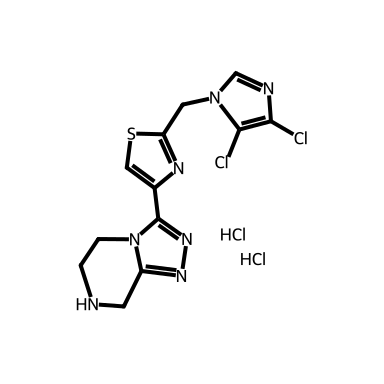 Cl.Cl.Clc1ncn(Cc2nc(-c3nnc4n3CCNC4)cs2)c1Cl